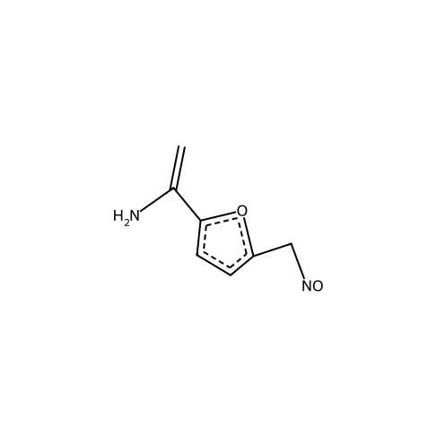 C=C(N)c1ccc(CN=O)o1